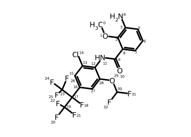 COc1c(N)cccc1C(=O)Nc1c(Cl)cc(C(F)(C(F)(F)F)C(F)(F)F)cc1OC(F)F